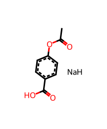 CC(=O)Oc1ccc(C(=O)O)cc1.[NaH]